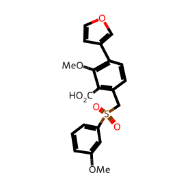 COc1cccc(S(=O)(=O)Cc2ccc(-c3ccoc3)c(OC)c2C(=O)O)c1